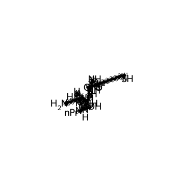 CCCNCC(=O)NC(CO)C(=O)NC(CCCCNC(=O)[C@@H](CC(N)=O)NCC(=O)CCCCCCCCCCCC(C)S)C(=O)N[C@@H](CC(C)S)C(=O)NCCCCCN